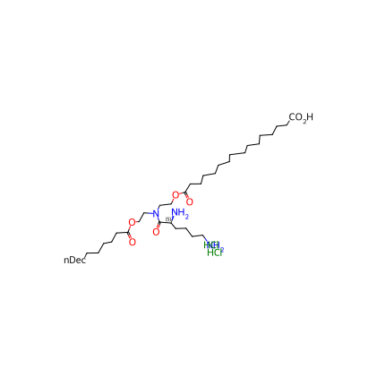 CCCCCCCCCCCCCCCC(=O)OCCN(CCOC(=O)CCCCCCCCCCCCCCC(=O)O)C(=O)[C@@H](N)CCCCN.Cl.Cl